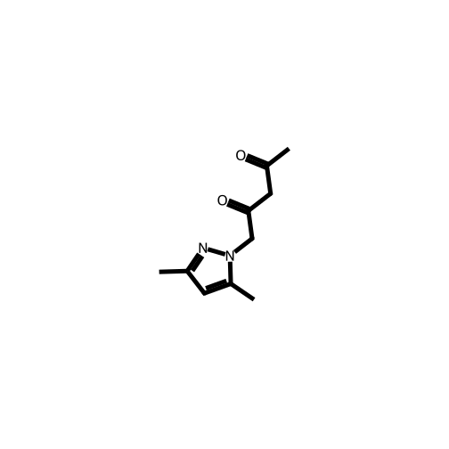 CC(=O)CC(=O)Cn1nc(C)cc1C